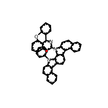 c1ccc(-n2c3ccc4ccccc4c3c3ccc4c5c6ccccc6ccc5n(-c5nc6c7c(cccc7n5)Oc5ccccc5-6)c4c32)cc1